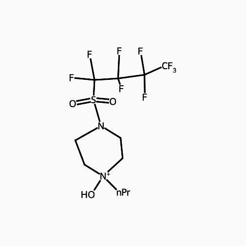 CCC[N+]1(O)CCN(S(=O)(=O)C(F)(F)C(F)(F)C(F)(F)C(F)(F)F)CC1